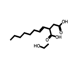 CCCCCCC=CC(CC(=O)O)C(=O)O.CCO